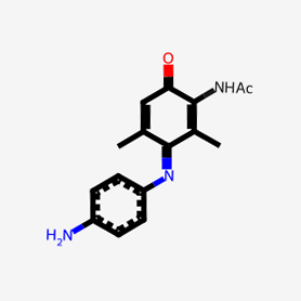 CC(=O)NC1=C(C)C(=Nc2ccc(N)cc2)C(C)=CC1=O